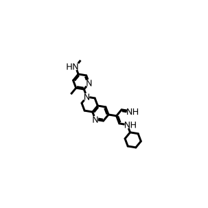 CNc1cnc(N2CCc3ncc(/C(C=N)=C/NC4CCCCC4)cc3C2)c(C)c1